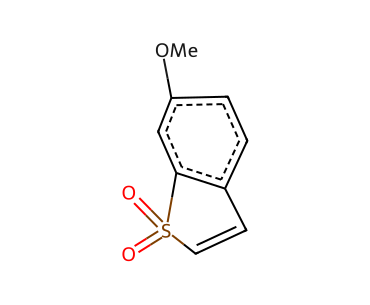 COc1ccc2c(c1)S(=O)(=O)C=C2